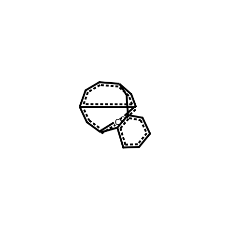 c1ccc2c(c1)Cc1ccc3cc-2ccc3c1